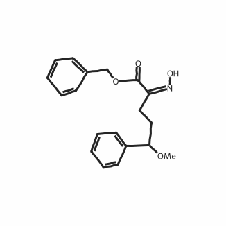 COC(CC/C(=N/O)C(=O)OCc1ccccc1)c1ccccc1